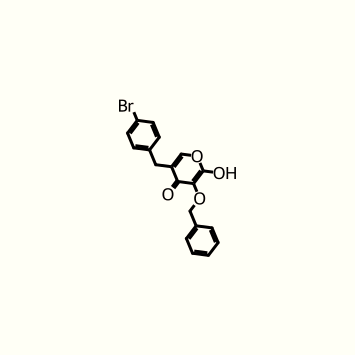 O=c1c(Cc2ccc(Br)cc2)coc(O)c1OCc1ccccc1